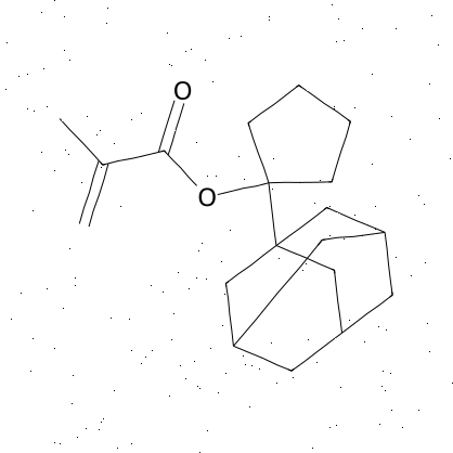 C=C(C)C(=O)OC1(C23CC4CC(CC(C4)C2)C3)CCCC1